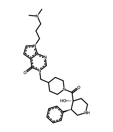 CN(C)CCCn1ccc2c(=O)n(CC3CCN(C(=O)[C@@]4(O)CCNC[C@H]4c4ccccc4)CC3)cnc21